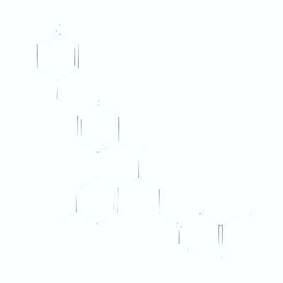 CN(CCC(Oc1ccc(Oc2ccncc2)cc1)c1ccc(F)cc1)CC(=O)O